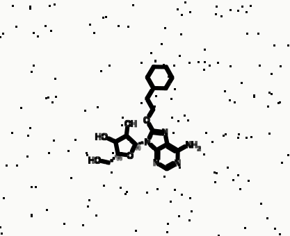 Nc1ncnc2c1nc(OCCC1CCCCC1)n2[C@@H]1O[C@H](CO)C(O)C1O